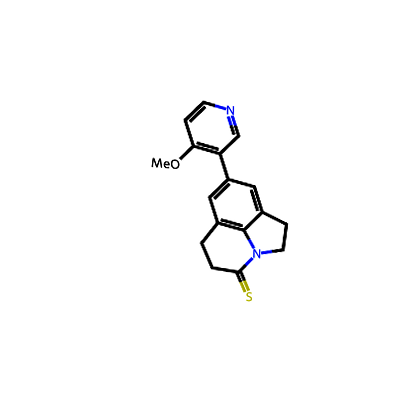 COc1ccncc1-c1cc2c3c(c1)CCN3C(=S)CC2